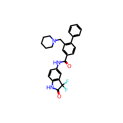 O=C(Nc1ccc2c(c1)C(F)(F)C(=O)N2)c1ccc(-c2ccccc2)c(CN2CCCCC2)c1